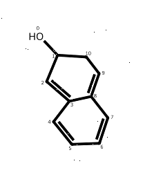 OC1C=c2ccccc2=CC1